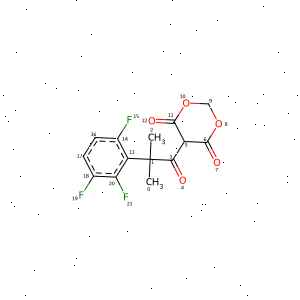 CC(C)(C(=O)C1C(=O)OCOC1=O)c1c(F)ccc(F)c1F